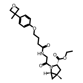 CCOC(=O)[C@@H]1C[C@]2(C)C[C@@H]2N1C(=O)CNC(=O)CCCOc1ccc(C2(C)COC2)cc1